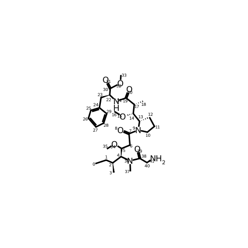 CC[C@H](C)[C@@H](C(CC(=O)N1CCC[C@H]1[C@H](OC)[C@@H](C)C(=O)N[C@@H](Cc1ccccc1)C(=O)OC)OC)N(C)C(=O)CN